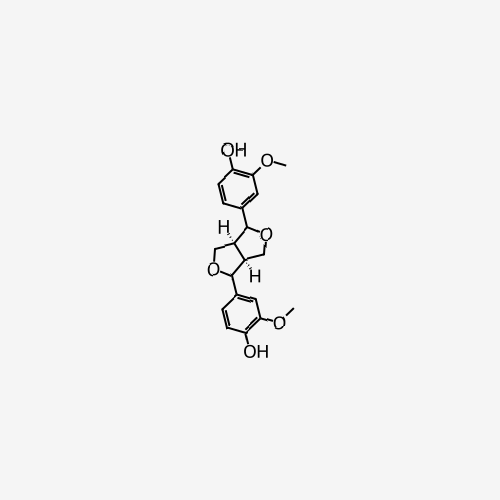 COc1cc(C2OC[C@H]3C(c4ccc(O)c(OC)c4)OC[C@@H]23)ccc1O